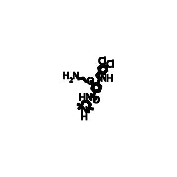 CC1(C)CC(NC(=O)c2ccc(-c3cc4cc(Cl)c(Cl)cc4[nH]3)c(OCCCN)c2)CC(C)(C)N1